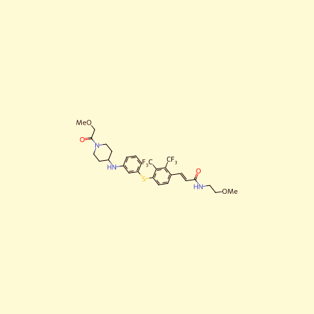 COCCNC(=O)C=Cc1ccc(Sc2cccc(NC3CCN(C(=O)COC)CC3)c2)c(C(F)(F)F)c1C(F)(F)F